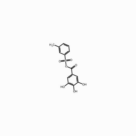 Cc1cccc(S(=O)(=O)OC(=O)c2cc(O)c(O)c(O)c2)c1